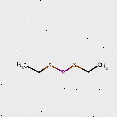 CCS[P]SCC